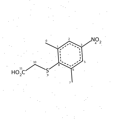 Cc1cc([N+](=O)[O-])cc(C)c1SCC(=O)O